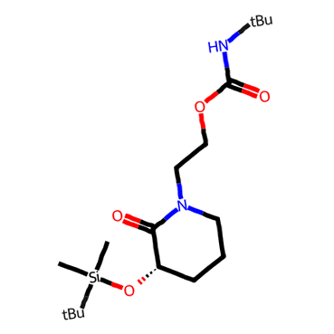 CC(C)(C)NC(=O)OCCN1CCC[C@H](O[Si](C)(C)C(C)(C)C)C1=O